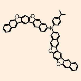 CC(C)c1ccc(N(c2ccc3cc4c(cc3c2)oc2cc3oc5cc6ccccc6cc5c3cc24)c2ccc3cc4c(cc3c2)oc2cc3oc5cc6ccccc6cc5c3cc24)cc1